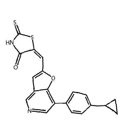 O=C1NC(=S)S/C1=C/c1cc2cncc(-c3ccc(C4CC4)cc3)c2o1